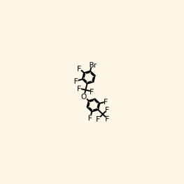 Fc1cc(OC(F)(F)c2ccc(Br)c(F)c2F)cc(F)c1C(F)(F)F